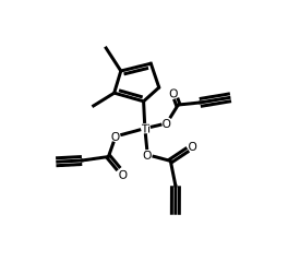 C#CC(=O)[O][Ti]([O]C(=O)C#C)([O]C(=O)C#C)[C]1=C(C)C(C)=CC1